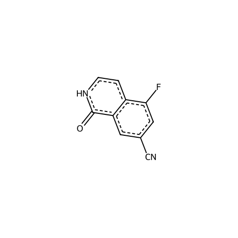 N#Cc1cc(F)c2cc[nH]c(=O)c2c1